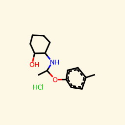 Cc1ccc(OC(C)NC2CCCCC2O)cc1.Cl